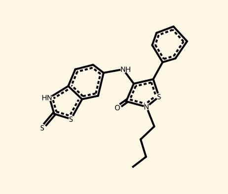 CCCCn1sc(-c2ccccc2)c(Nc2ccc3[nH]c(=S)sc3c2)c1=O